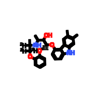 [2H]C(C)(NC(C)C(O)COc1cccc2[nH]c3cc(C)c(C)cc3c12)C([2H])([2H])Oc1ccccc1OCC